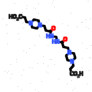 O=C(O)CCN1CCN(CCC(=O)NCNC(=O)CCN2CCN(CCC(=O)O)CC2)CC1